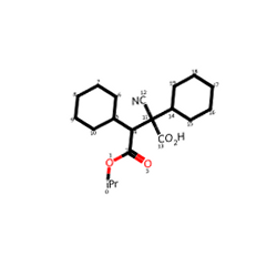 CC(C)OC(=O)C(C1CCCCC1)C(C#N)(C(=O)O)C1CCCCC1